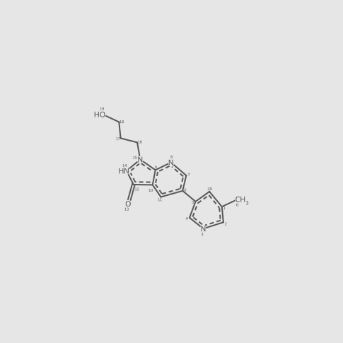 Cc1cncc(-c2cnc3c(c2)c(=O)[nH]n3CCCO)c1